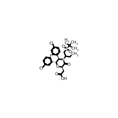 CCC(CS(=O)(=O)C(C)(C)C)N1C(=O)[C@@H](CC(=O)O)O[C@H](c2cccc(Cl)c2)[C@H]1c1ccc(Cl)cc1F